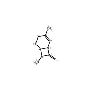 CC1=CN2C(=O)C(N)C2SC1